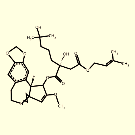 COC1=CC23CCCN2CCc2cc4c(cc2[C@@H]3C1OC(=O)[C@@](O)(CCCC(C)(C)O)CC(=O)OCC=C(C)C)OCO4